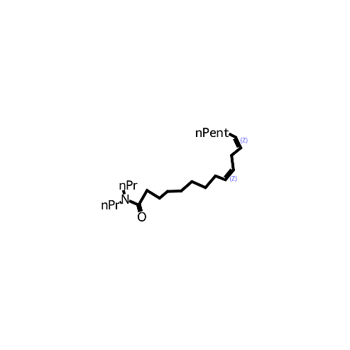 CCCCC/C=C\C/C=C\CCCCCCCC(=O)N(CCC)CCC